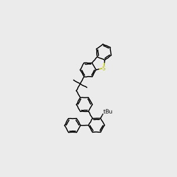 CC(C)(C)c1cccc(-c2ccccc2)c1-c1ccc(CC(C)(C)c2ccc3c(c2)sc2ccccc23)cc1